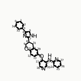 c1ccc(-c2c[nH]c(C3COc4ccc(Oc5ccncc5Nc5ccccn5)cc4C3)n2)cc1